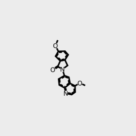 COc1ccc2c(c1)C(=O)N(c1ccc3nccc(OC)c3c1)C2